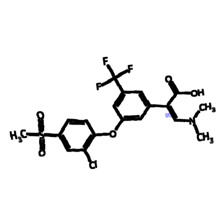 CN(C)/C=C(\C(=O)O)c1cc(Oc2ccc(S(C)(=O)=O)cc2Cl)cc(C(F)(F)F)c1